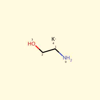 NCCO.[K]